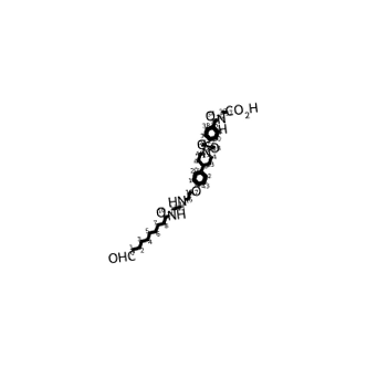 O=CCCCCCCCCC(=O)NCCNCCOc1ccc(C2CCN(S(=O)(=O)c3ccc(C(=O)NCC(=O)O)cc3)CC2)cc1